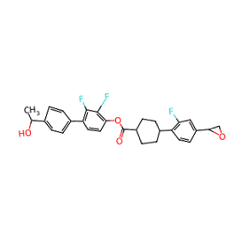 CC(O)c1ccc(-c2ccc(OC(=O)C3CCC(c4ccc(C5CO5)cc4F)CC3)c(F)c2F)cc1